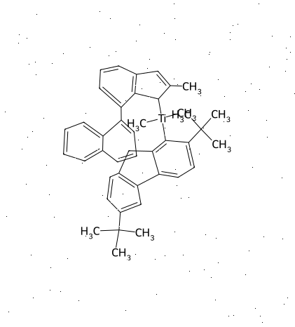 CC1=Cc2cccc(-c3cccc4ccccc34)c2[CH]1[Ti]([CH3])([CH3])[c]1c(C(C)(C)C)ccc2c1Cc1ccc(C(C)(C)C)cc1-2